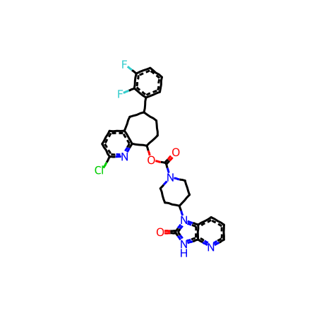 O=C(OC1CCC(c2cccc(F)c2F)Cc2ccc(Cl)nc21)N1CCC(n2c(=O)[nH]c3ncccc32)CC1